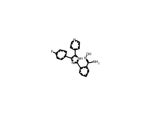 NC(=NO)c1ccccc1-c1nc(-c2ccc(F)cc2)c(-c2ccncc2)[nH]1